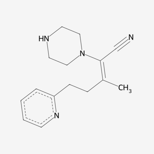 CC(CCc1ccccn1)=C(C#N)N1CCNCC1